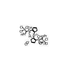 CCCC([Si](Cl)(Cl)Cl)[Si](C)(C)C1=[C]([Zr+2][C]2=C([Si](C)(C)C(CCC)[Si](Cl)(Cl)Cl)C=CC2)CC=C1.[Cl-].[Cl-]